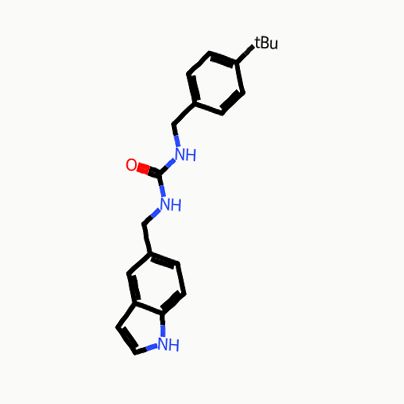 CC(C)(C)c1ccc(CNC(=O)NCc2ccc3[nH]ccc3c2)cc1